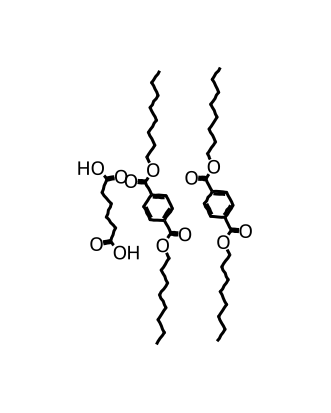 CCCCCCCCOC(=O)c1ccc(C(=O)OCCCCCCCC)cc1.CCCCCCCCOC(=O)c1ccc(C(=O)OCCCCCCCC)cc1.O=C(O)CCCCC(=O)O